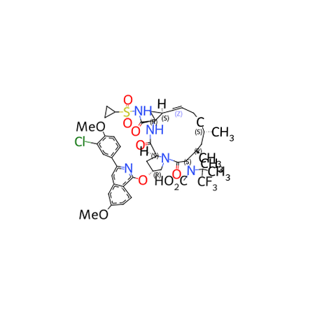 COc1ccc2c(O[C@@H]3C[C@H]4C(=O)N[C@]5(C(=O)NS(=O)(=O)C6CC6)C[C@H]5/C=C\CC[C@H](C)C[C@@H](C)[C@H](N(C(=O)O)C(C)(C)C(F)(F)F)C(=O)N4C3)nc(-c3ccc(OC)c(Cl)c3)cc2c1